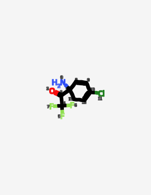 NC1(C(=O)C(F)(F)F)C=CC(Cl)=CC1